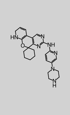 C1=CC2=C(NC1)OC1(CCCCC1)c1nc(Nc3ccc(N4CCNCC4)cn3)ncc12